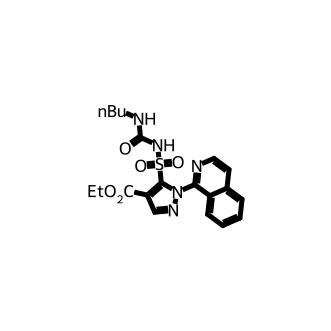 CCCCNC(=O)NS(=O)(=O)c1c(C(=O)OCC)cnn1-c1nccc2ccccc12